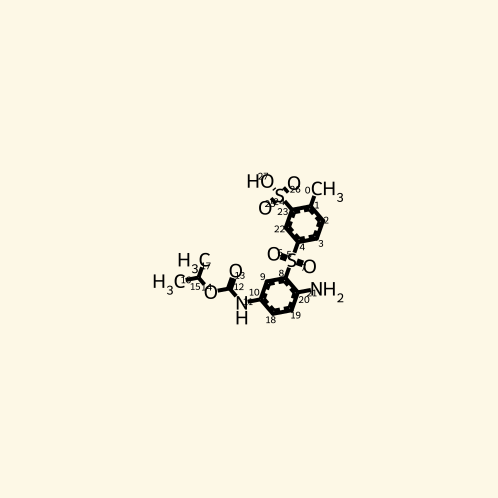 Cc1ccc(S(=O)(=O)c2cc(NC(=O)OC(C)C)ccc2N)cc1S(=O)(=O)O